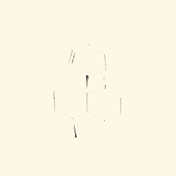 C[C@H]1CCC[C@]2(c3cccc(F)c3)[C@@H](O)CCC[C@@H]12